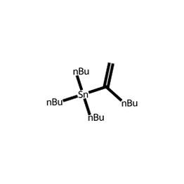 C=[C](CCCC)[Sn]([CH2]CCC)([CH2]CCC)[CH2]CCC